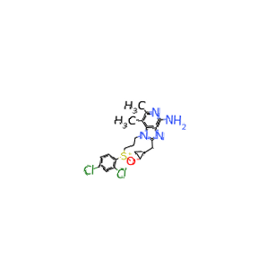 Cc1nc(N)c2nc(CC3CC3)n(CCC[S+]([O-])c3ccc(Cl)cc3Cl)c2c1C